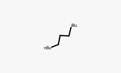 [CH2]CC(C)CCCCCCC